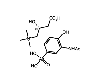 CC(=O)Nc1cc([As](=O)(O)O)ccc1O.C[N+](C)(C)C[C@H](O)CC(=O)O